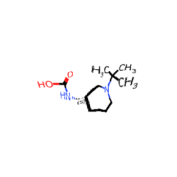 CC(C)(C)N1CCC[C@H](NC(=O)O)C1